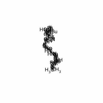 Cc1ncsc1-c1ccc(CNC(=O)[C@@H]2C[C@@H](O)CN2C(=O)[C@@H](NC(=O)C2(F)CC2)C(C)(C)C)c(OCC(=O)NCCCN2CC[C@@]3(CCN(CCC(=O)NCCCNc4cc(N5CCC6(CC5)CN(c5cc(F)c(CN7CCC(C)(C)CC7)cc5F)CC(=O)N6)ncn4)C3)C2)c1